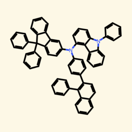 c1ccc(-c2c(-c3ccc(N(c4ccc5c(c4)-c4ccccc4C5(c4ccccc4)c4ccccc4)c4cccc5c4c4ccccc4n5-c4ccccc4)cc3)ccc3ccccc23)cc1